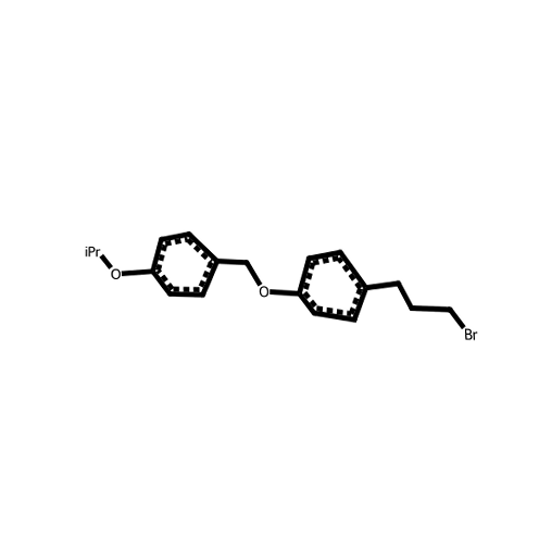 CC(C)Oc1ccc(COc2ccc(CCCBr)cc2)cc1